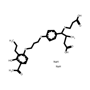 CCCc1c(OCCCSc2ccc(C(SCCC(=O)O)C(C)CC(=O)O)cc2)ccc(C(C)=O)c1O.[NaH].[NaH]